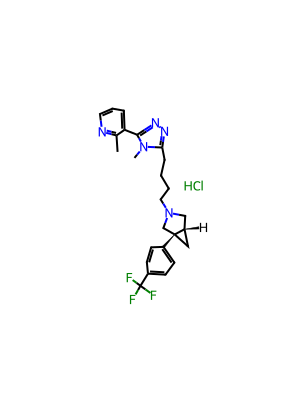 Cc1ncccc1-c1nnc(CCCCN2C[C@@H]3C[C@]3(c3ccc(C(F)(F)F)cc3)C2)n1C.Cl